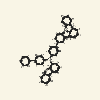 c1ccc(-c2ccc(N(c3ccc(-c4ccc5c(c4)c4cccc6c7ccccc7n5c64)cc3)c3cccc4c3oc3ccccc34)cc2)cc1